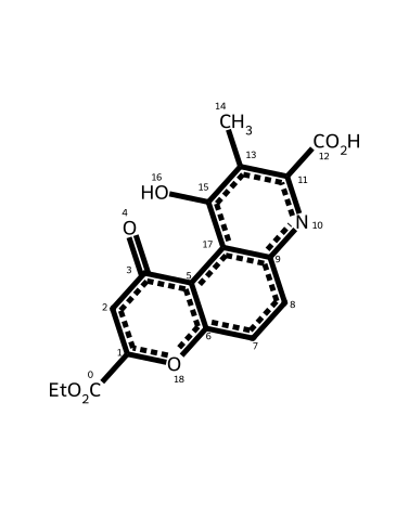 CCOC(=O)c1cc(=O)c2c(ccc3nc(C(=O)O)c(C)c(O)c32)o1